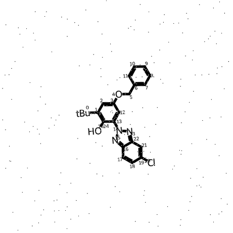 CC(C)(C)c1cc(OCc2ccccc2)cc(-n2nc3ccc(Cl)cc3n2)c1O